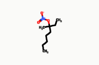 CCCCCC(C)(CC)O[N+](=O)[O-]